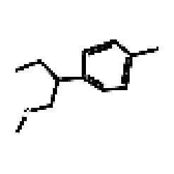 CCC(CSC)c1ccc(C)cc1